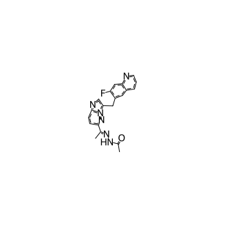 CC(=O)NN=C(C)c1ccc2ncc(Cc3cc4cccnc4cc3F)n2n1